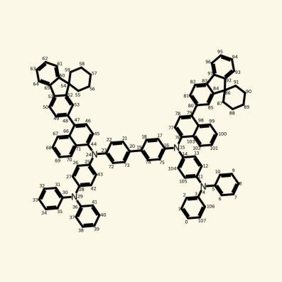 c1ccc(N(c2ccccc2)c2ccc(N(c3ccc(-c4ccc(N(c5ccc(N(c6ccccc6)c6ccccc6)cc5)c5ccc(-c6ccc7c(c6)C6(CCCCC6)c6ccccc6-7)c6ccccc56)cc4)cc3)c3ccc(-c4ccc5c(c4)C4(CCCCC4)c4ccccc4-5)c4ccccc34)cc2)cc1